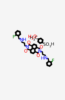 Cc1ccc(S(=O)(=O)O)cc1.O.O=C1c2ccc3c4c(ccc(c24)C(=O)N1CCCNCc1ccccc1F)C(=O)N(CCCNCc1ccccc1F)C3=O